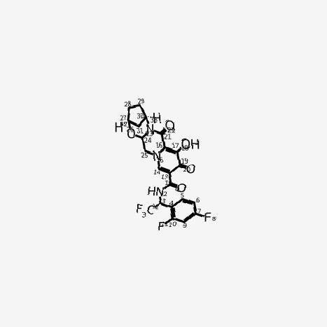 O=C(N[C@@H](c1ccc(F)cc1F)C(F)(F)F)c1cn2c(c(O)c1=O)C(=O)N1C(C2)O[C@H]2CC[C@@H]1C2